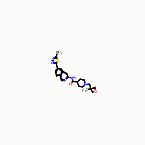 Cc1nnc(-c2ccc3cnc(NC(=O)C4CCN(CC5(C)COC5)CC4)cc3c2)s1